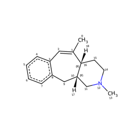 CC1=Cc2ccccc2C[C@H]2CN(C)CC[C@@H]12